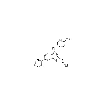 CCOCc1nc(Nc2ccc(C(C)(C)C)nc2)c2ccc(-c3ncccc3Cl)cc2n1